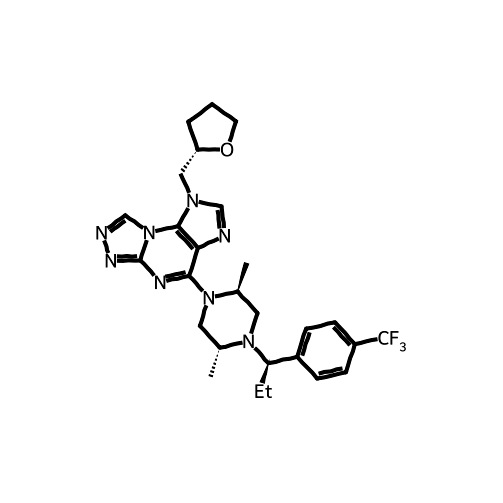 CC[C@H](c1ccc(C(F)(F)F)cc1)N1C[C@H](C)N(c2nc3nncn3c3c2ncn3C[C@@H]2CCCO2)C[C@H]1C